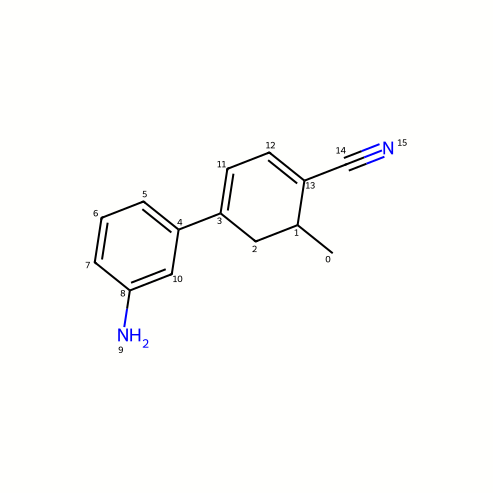 CC1CC(c2cccc(N)c2)=CC=C1C#N